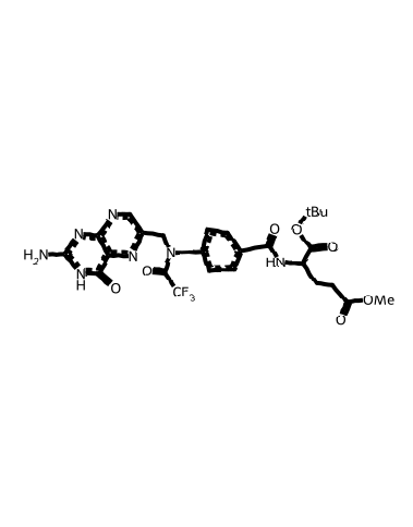 COC(=O)CCC(NC(=O)c1ccc(N(Cc2cnc3nc(N)[nH]c(=O)c3n2)C(=O)C(F)(F)F)cc1)C(=O)OC(C)(C)C